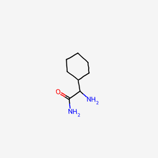 NC(=O)C(N)C1CCCCC1